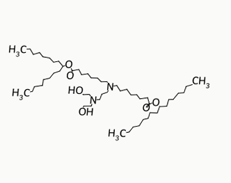 CCCCCCCCC(CCCCCCCC)OC(=O)CCCCCCCN(CCCCCCCC(=O)OC(CCCCCCCC)CCCCCCCC)CCCN(CCO)CCO